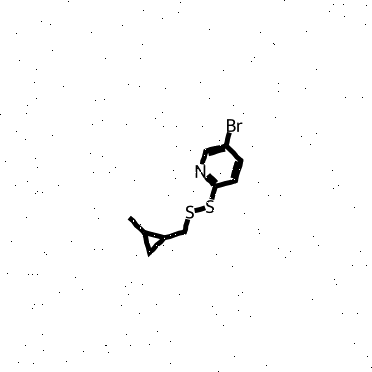 CC1CC1CSSc1ccc(Br)cn1